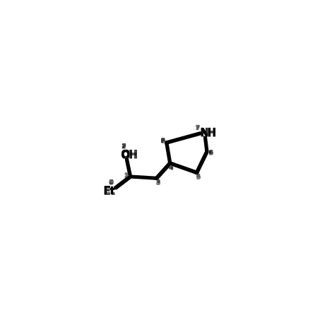 CCC(O)CC1CCNC1